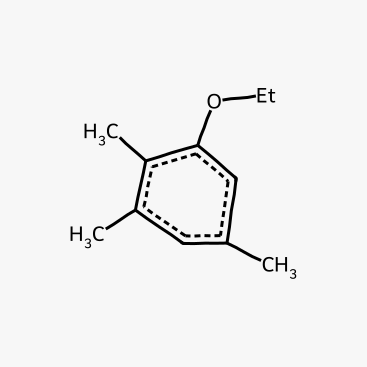 [CH2]COc1cc(C)cc(C)c1C